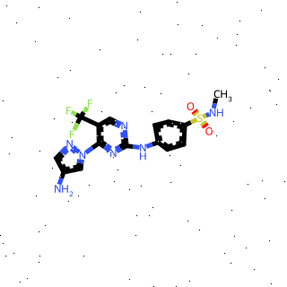 CNS(=O)(=O)c1ccc(Nc2ncc(C(F)(F)F)c(-n3cc(N)cn3)n2)cc1